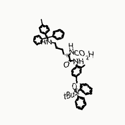 Cc1ccc(C(NCCCC[C@H](NC(=O)O)C(=O)Nc2ccc(CO[Si](c3ccccc3)(c3ccccc3)C(C)(C)C)cc2C)(c2ccccc2)c2ccccc2)cc1